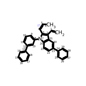 C=Cc1c(/C=C\C)n(-c2cccc(-c3ccccc3)c2)c2ccc(-c3ccccc3)cc12